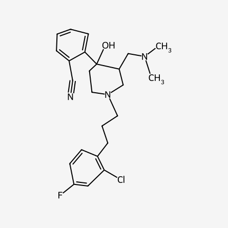 CN(C)CC1CN(CCCc2ccc(F)cc2Cl)CCC1(O)c1ccccc1C#N